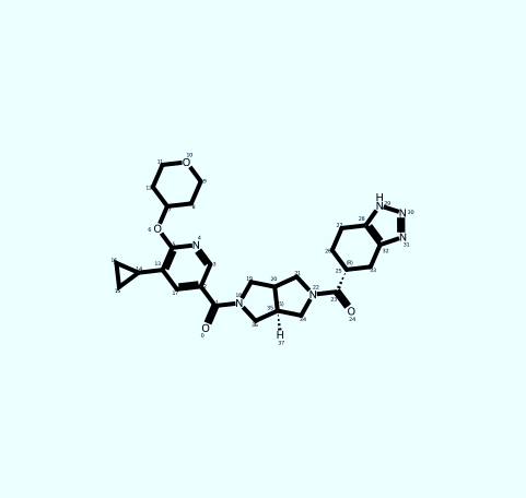 O=C(c1cnc(OC2CCOCC2)c(C2CC2)c1)N1CC2CN(C(=O)[C@@H]3CCc4[nH]nnc4C3)C[C@H]2C1